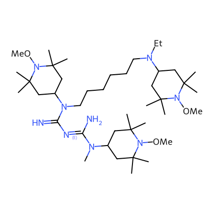 CCN(CCCCCCN(C(=N)/N=C(\N)N(C)C1CC(C)(C)N(OC)C(C)(C)C1)C1CC(C)(C)N(OC)C(C)(C)C1)C1CC(C)(C)N(OC)C(C)(C)C1